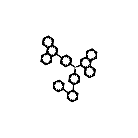 c1ccc(-c2ccccc2-c2ccc(N(c3ccc(-c4cc5ccccc5c5ccccc45)cc3)c3cc4ccccc4c4ccccc34)cc2)cc1